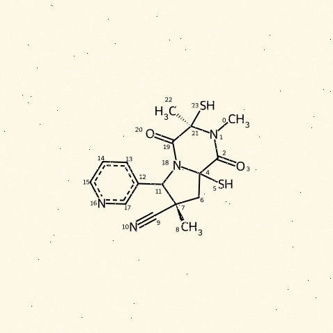 CN1C(=O)C2(S)C[C@](C)(C#N)C(c3cccnc3)N2C(=O)[C@@]1(C)S